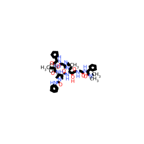 CCC[C@H](NC(=O)[C@@H]1CN(C(=O)Nc2ccccc2)C[C@@H]1NC(=O)[C@@H](NC(=O)[C@@H](NC(=O)c1cnccn1)C1CCCCC1)C(C)(C)C)C(O)C(=O)NCC(=O)N[C@H](C(=O)N(C)C)C1CCCCC1